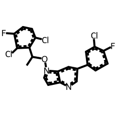 CC(On1ccc2ncc(-c3ccc(F)c(Cl)c3)cc21)c1c(Cl)ccc(F)c1Cl